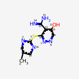 Cc1cnc(Sc2nncc(O)c2C(=N)N)nc1